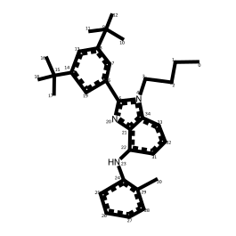 CCCCn1c(-c2cc(C(C)(C)C)cc(C(C)(C)C)c2)nc2c(Nc3ccccc3C)cccc21